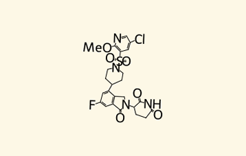 COc1ncc(Cl)cc1S(=O)(=O)N1CCC(c2cc(F)cc3c2CN(C2CCC(=O)NC2=O)C3=O)CC1